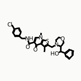 Cc1c(CN2CCOCC2C(O)c2ccccc2)sc2c1c(=O)c(C(=O)NCc1ccc(Cl)cc1)cn2C